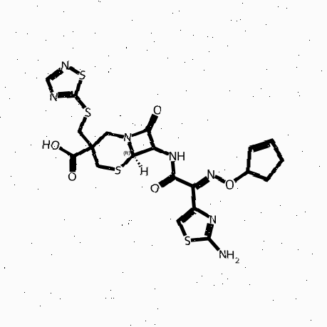 Nc1nc(C(=NOC2C=CCC2)C(=O)NC2C(=O)N3CC(CSc4ncns4)(C(=O)O)CS[C@H]23)cs1